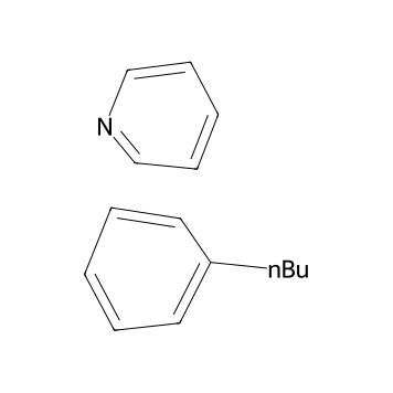 CCCCc1ccccc1.c1ccncc1